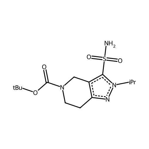 CC(C)n1nc2c(c1S(N)(=O)=O)CN(C(=O)OC(C)(C)C)CC2